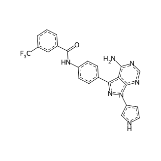 Nc1ncnc2c1c(-c1ccc(NC(=O)c3cccc(C(F)(F)F)c3)cc1)nn2-c1cc[nH]c1